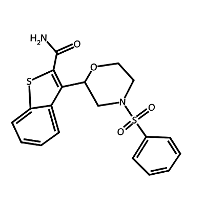 NC(=O)c1sc2ccccc2c1C1CN(S(=O)(=O)c2ccccc2)CCO1